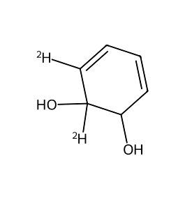 [2H]C1=CC=CC(O)C1([2H])O